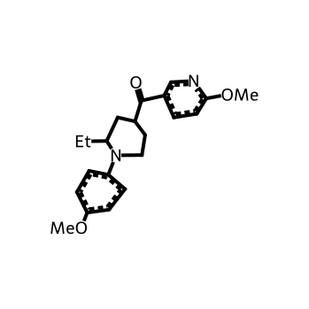 CCC1CC(C(=O)c2ccc(OC)nc2)CCN1c1ccc(OC)cc1